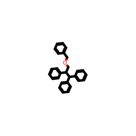 c1ccc(COCC(c2ccccc2)C(c2ccccc2)c2ccccc2)cc1